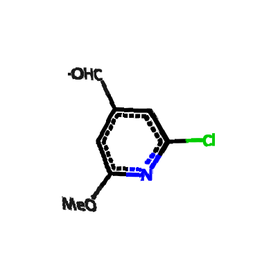 COc1cc([C]=O)cc(Cl)n1